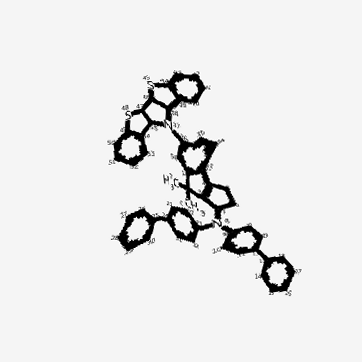 CC1(C)C2=C(CCC2N(c2ccc(-c3ccccc3)cc2)c2ccc(-c3ccccc3)cc2)c2ccc(N3C4c5ccccc5SC4C4Sc5ccccc5C43)cc21